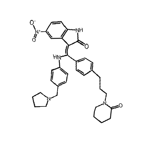 O=C1Nc2ccc([N+](=O)[O-])cc2C1=C(Nc1ccc(CN2CCCC2)cc1)c1ccc(CCCN2CCCCC2=O)cc1